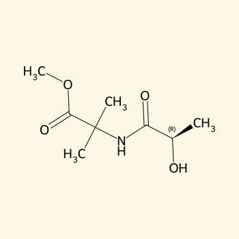 COC(=O)C(C)(C)NC(=O)[C@@H](C)O